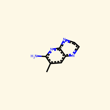 Cc1cc2nccnc2nc1N